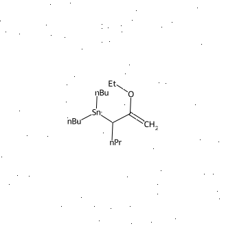 C=C(OCC)[CH](CCC)[Sn]([CH2]CCC)[CH2]CCC